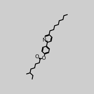 CCCCCCCCc1ccc(-c2ccc(OC(=O)CCCCC(C)CC)cc2)nc1